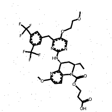 CC[C@@H]1C[C@H](Nc2ncc(OCCOC)c(Cc3cc(C(F)(F)F)cc(C(F)(F)F)c3)n2)c2nc(OC)ccc2N1C(=O)OCCC(=O)O